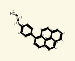 OBOc1ccc(-c2ccc3ccc4cccc5ccc2c3c45)cc1